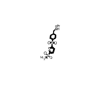 CCCNCc1ccc(S(=O)(=O)c2ccc(S(N)(=O)=O)s2)cc1